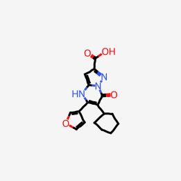 O=C(O)c1cc2[nH]c(-c3ccoc3)c(C3CCCCC3)c(=O)n2n1